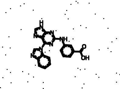 O=C(O)c1cccc(Nc2nc(-n3cnc4ccccc43)c3nc[nH]c3n2)c1